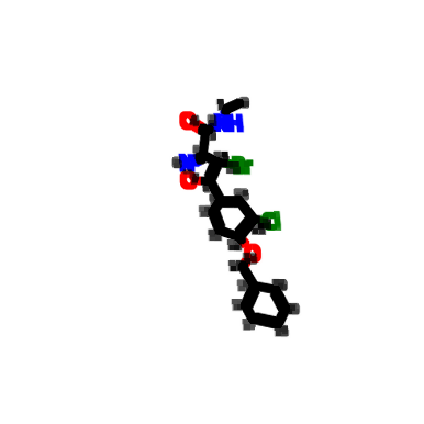 CCNC(=O)c1noc(-c2ccc(OCc3ccccc3)c(Cl)c2)c1Br